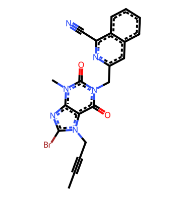 CC#CCn1c(Br)nc2c1c(=O)n(Cc1cc3ccccc3c(C#N)n1)c(=O)n2C